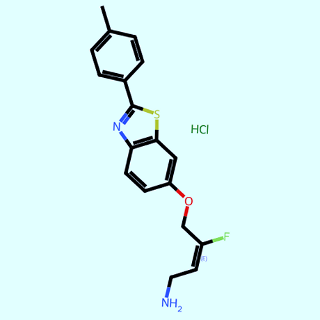 Cc1ccc(-c2nc3ccc(OC/C(F)=C\CN)cc3s2)cc1.Cl